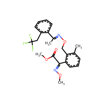 CO/N=C(/C(=O)OC)c1cccc(C)c1CO/N=C(\C)c1ccccc1CC(F)(F)F